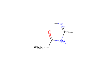 C/N=C(/C)NC(=O)CNC